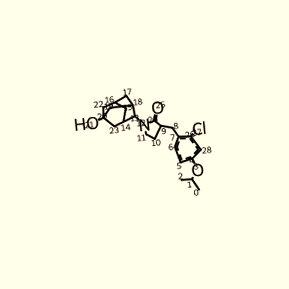 CC(C)Oc1ccc(CC2CCN(C3C4CC5CC3CC(O)(C5)C4)C2=O)c(Cl)c1